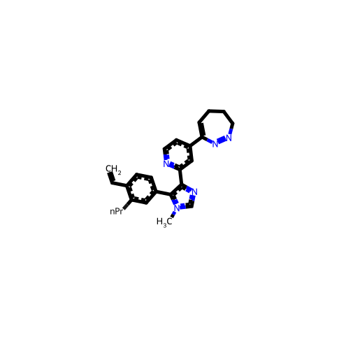 C=Cc1ccc(-c2c(-c3cc(C4=CCCCN=N4)ccn3)ncn2C)cc1CCC